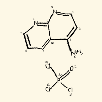 Nc1ccnc2ncccc12.O=P(Cl)(Cl)Cl